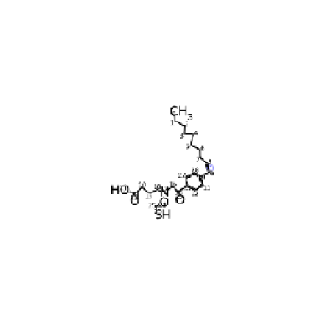 CCCCCCCC/C=C\c1ccc(C(=O)CN(CCCC(=O)O)OCS)cc1